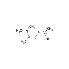 CC(CC[C@@H](C)N)N(C)C